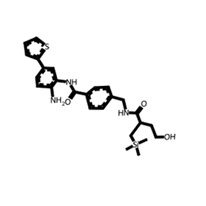 C[Si](C)(C)CC(CCO)C(=O)NCc1ccc(C(=O)Nc2cc(-c3cccs3)ccc2N)cc1